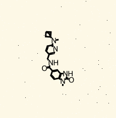 CN(c1ccc(CNC(=O)c2ccc3c(c2)[nH]c(=O)n3C)cn1)C12CC(C1)C2